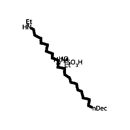 CCCCCCCCCCCCCCCCCCCCCCCCCCCCCCNCC.CCN.O=S(=O)(O)O